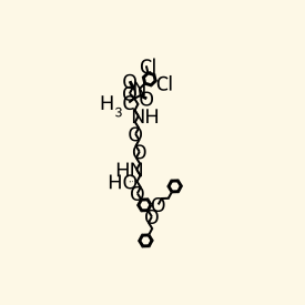 CC1(CCNCCOCCOCCNC[C@@H](O)COc2ccc(OCCc3ccccc3)c(OCCc3ccccc3)c2)OC(=O)N(c2cc(Cl)cc(Cl)c2)C1=O